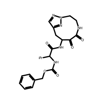 CC(C)C(NC(=O)OCc1ccccc1)C(=O)NC1Cc2cnn(n2)CCNC(=O)C1=O